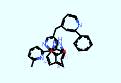 Cc1cccc(-c2n[nH]cc2C2=C\C=C\c3cc(CC4=CC=C=NC(c5ccccc5)=C4)cnc3/C=C\2)n1